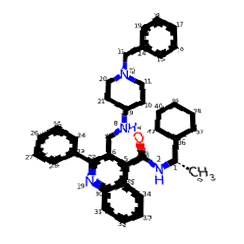 C[C@H](NC(=O)c1c(CNC2CCN(Cc3ccccc3)CC2)c(-c2ccccc2)nc2ccccc12)C1CCCCC1